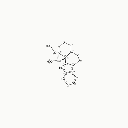 CC[C@]1(OC)CCCN2CCc3c([nH]c4ccccc34)[C@@H]21